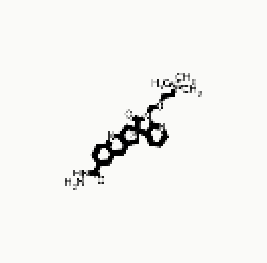 C[Si](C)(C)CCOCN1C(=O)[C@]2(Cc3cc4cc(C(=O)NN)ccc4nc3C2)c2cccnc21